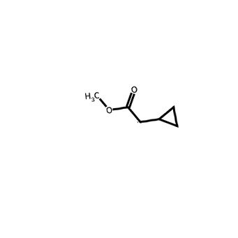 COC(=O)[CH]C1CC1